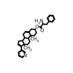 CC12CCC(OC(=O)C(N)Cc3ccccc3)CC1=CCC1C2CCC2(C)C(c3cccnc3)=CCC12